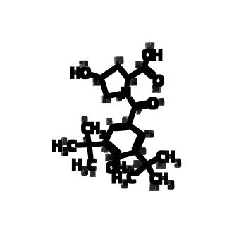 CC(C)(C)c1cc(C(=O)N2CC(O)CC2C(=O)O)cc(C(C)(C)C)c1O